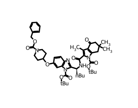 CCCC[C@H](NC(=O)c1c(C)c2c(n1C(=O)OC(C)(C)C)CC(C)(C)CC2=O)c1nc2ccc(OC3CCN(C(=O)OCc4ccccc4)CC3)cc2n1C(=O)OC(C)(C)C